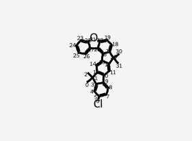 CC1(C)c2cc(Cl)ccc2-c2cc3c(cc21)-c1c(ccc2oc4ccccc4c12)C3(C)C